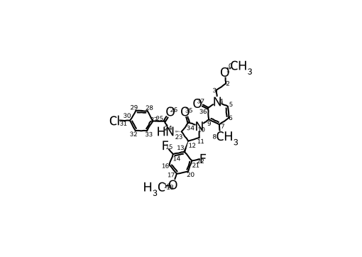 COCCn1ccc(C)c(N2C[C@@H](c3c(F)cc(OC)cc3F)[C@H](NC(=O)c3ccc(Cl)cc3)C2=O)c1=O